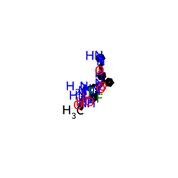 CCC(=O)NCCNC(=O)/N=C(/N)NCCC[C@@H](NC(=O)C(c1ccccc1)c1ccc(OCCCN2CCNCC2)cc1)C(=O)NCc1c(F)cc(O)cc1F